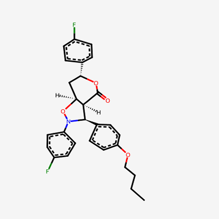 CCCCOc1ccc([C@@H]2[C@@H]3C(=O)O[C@@H](c4ccc(F)cc4)C[C@@H]3ON2c2ccc(F)cc2)cc1